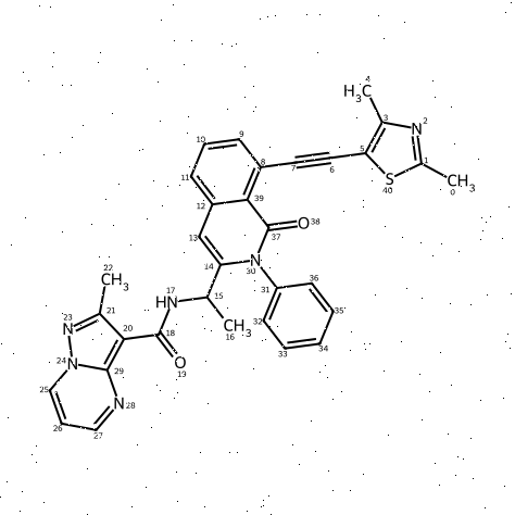 Cc1nc(C)c(C#Cc2cccc3cc(C(C)NC(=O)c4c(C)nn5cccnc45)n(-c4ccccc4)c(=O)c23)s1